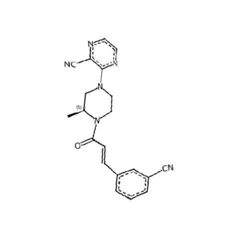 C[C@H]1CN(c2nccnc2C#N)CCN1C(=O)C=Cc1cccc(C#N)c1